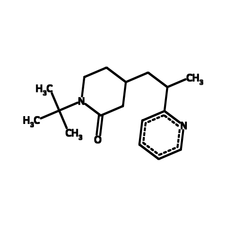 CC(CC1CCN(C(C)(C)C)C(=O)C1)c1ccccn1